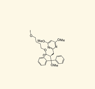 COc1cc(OC)nc(C[C@H](C(=O)OCCCCOI)C(OC)(c2ccccc2)c2ccccc2)n1